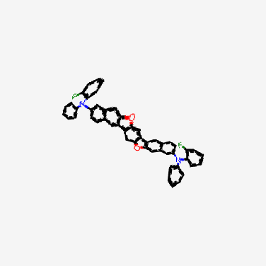 Fc1ccccc1N(c1ccccc1)c1ccc2cc3c(cc2c1)oc1cc2c(cc13)oc1cc3cc(N(c4ccccc4)c4ccccc4F)ccc3cc12